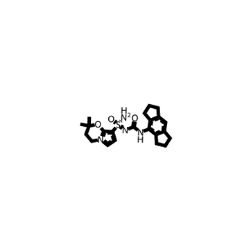 CC1(C)CCn2ccc(S(N)(=O)=NC(=O)Nc3c4c(cc5c3CCC5)CCC4)c2O1